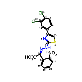 O=C(O)C(=NNc1nc(-c2ccc(Cl)c(Cl)c2)cs1)c1ccccc1[N+](=O)[O-]